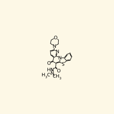 CN(C)NC(=O)c1c(=O)c2ccc(N3CCOCC3)nc2n2c1sc1ccccc12